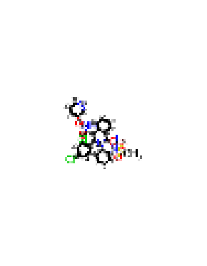 CS(=O)(=O)N[C@H]1CCCC[C@@H]1N1C(=O)c2ccccc2[C@@H](C(=O)NOc2cccnc2)[C@@H]1c1ccc(Cl)cc1Cl